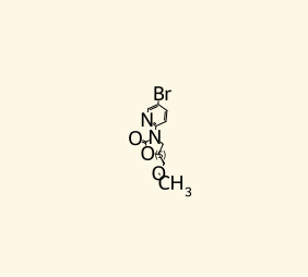 COC[C@@H]1CN(c2ccc(Br)cn2)C(=O)O1